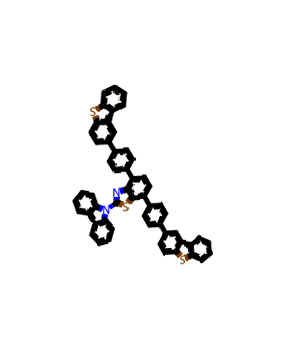 c1ccc2c(c1)sc1ccc(-c3ccc(-c4ccc(-c5ccc(-c6ccc7sc8ccccc8c7c6)cc5)c5sc(-n6c7ccccc7c7ccccc76)nc45)cc3)cc12